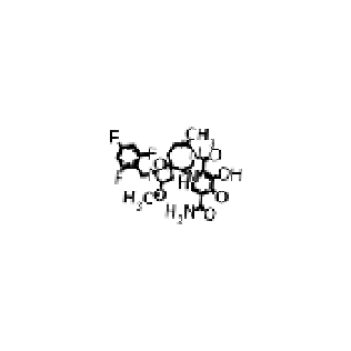 COC1C[C@]2(CC[C@@H](C)N3C[C@H]2n2cc(C(N)=O)c(=O)c(O)c2C3=O)ON1Cc1c(F)cc(F)cc1F